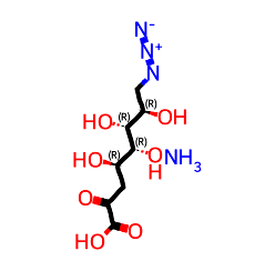 N.[N-]=[N+]=NC[C@@H](O)[C@@H](O)[C@H](O)[C@H](O)CC(=O)C(=O)O